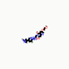 COCCOc1cnc2ccn(CC(O)NNc3ncc(-c4cnn(C)c4)cc3F)c(=O)c2c1